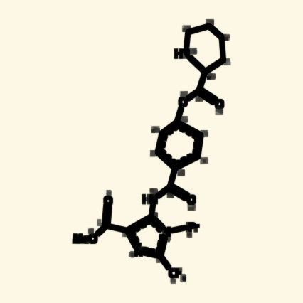 COC(=O)c1nc(C(F)(F)F)n(C(C)C)c1NC(=O)c1ccc(OC(=O)C2CCCCN2)cc1